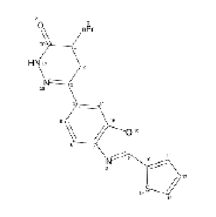 CCCC1CC(c2ccc3nc(-c4cccs4)oc3c2)=NNC1=O